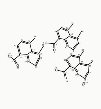 Cc1ccnc2c(C(=O)[O-])ccc(C)c12.Cc1ccnc2c(C(=O)[O-])ccc(C)c12.Cc1ccnc2c(C(=O)[O-])ccc(C)c12.[Al+3]